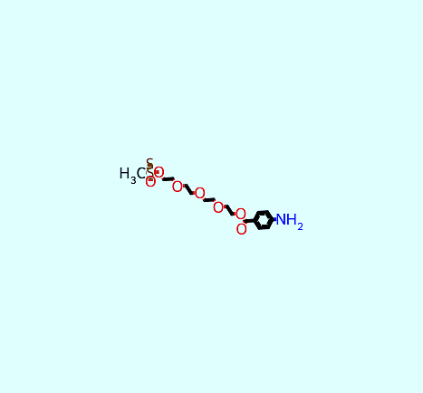 CS(=O)(=S)OCCOCCOCCOCCOC(=O)c1ccc(N)cc1